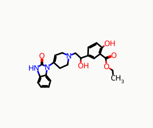 CCOC(=O)c1cc(C(O)CN2CC=C(n3c(=O)[nH]c4ccccc43)CC2)ccc1O